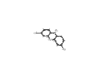 Clc1ccc2nc3ccc(Cl)cc3[s+]c2c1.[Cl-]